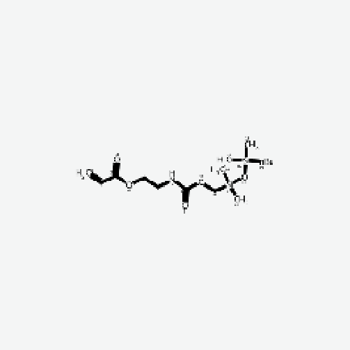 C=CC(=O)OCCNC(=O)OC[Si](C)(C)O[Si](C)(C)CCCC